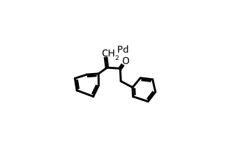 C=C(C(=O)Cc1ccccc1)c1ccccc1.[Pd]